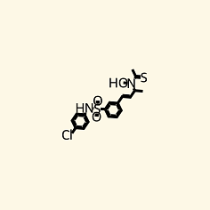 CC(=S)N(O)C(C)/C=C/c1cccc(S(=O)(=O)Nc2ccc(Cl)cc2)c1